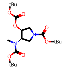 CN(C(=O)OC(C)(C)C)[C@H]1CN(C(=O)OC(C)(C)C)C[C@@H]1OC(=O)OC(C)(C)C